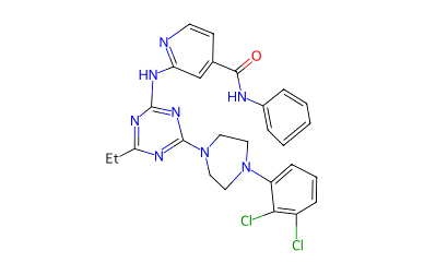 CCc1nc(Nc2cc(C(=O)Nc3ccccc3)ccn2)nc(N2CCN(c3cccc(Cl)c3Cl)CC2)n1